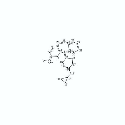 COc1ccc2c(c1)C(=C1CCN(CC3CC3)CC1)c1ccccc1C=C2